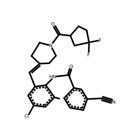 Cc1cc(Cl)cc(C=C2CCN(C(=O)C3CCC(F)(F)C3)CC2)c1NC(=O)c1cccc(C#N)c1